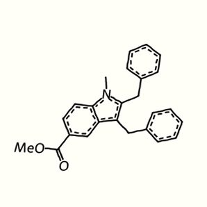 COC(=O)c1ccc2c(c1)c(Cc1ccccc1)c(Cc1ccccc1)n2C